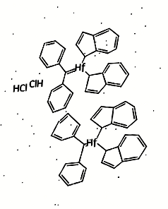 C1=C[CH]([Hf](=[C](c2ccccc2)c2ccccc2)[CH]2C=Cc3ccccc32)c2ccccc21.C1=C[CH]([Hf](=[C](c2ccccc2)c2ccccc2)[CH]2C=Cc3ccccc32)c2ccccc21.Cl.Cl